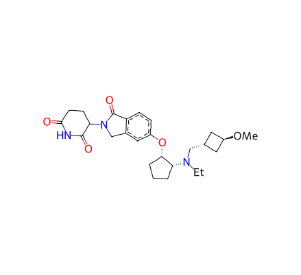 CCN(C[C@H]1C[C@H](OC)C1)[C@@H]1CCC[C@@H]1Oc1ccc2c(c1)CN(C1CCC(=O)NC1=O)C2=O